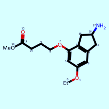 CCOc1cc2c(c(OCCCC(=O)OC)c1)CC(N)C2